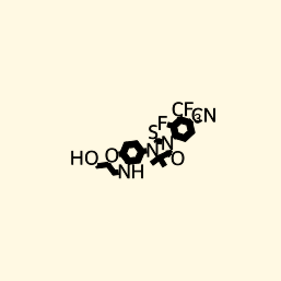 CC1(C)C(=O)N(c2ccc(C#N)c(C(F)(F)F)c2F)C(=S)N1c1ccc2c(c1)NCC(CO)O2